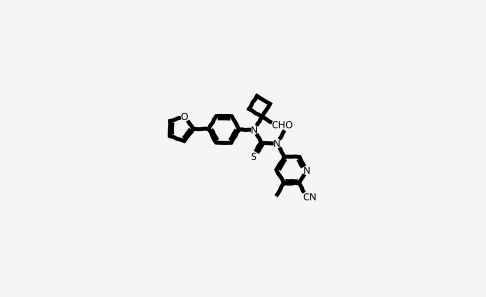 Cc1cc(N(C)C(=S)N(c2ccc(-c3ccco3)cc2)C2(C=O)CCC2)cnc1C#N